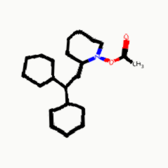 CC(=O)ON1CCCCC1CC(C1CCCCC1)C1CCCCC1